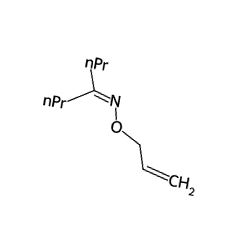 C=CCON=C(CCC)CCC